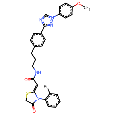 CCc1ccccc1N1C(=O)CS/C1=C\C(=O)NCCCc1ccc(-c2ncn(-c3ccc(OC(F)(F)F)cc3)n2)cc1